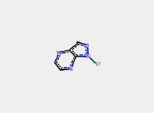 Cln1ncc2nccnc21